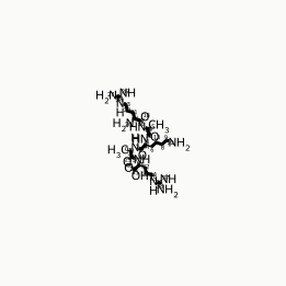 C[C@H](NC(=O)[C@H](CCCCN)NC(=O)[C@H](C)NC(=O)[C@@H](N)CCCNC(=N)N)C(=O)N[C@@H](CCCNC(=N)N)C(=O)O